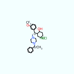 C[C@H](c1ccccc1)N1CCN(C[C@H](c2cccc(OC(F)(F)F)c2)C2CCCCC2O)CC1.Cl.Cl